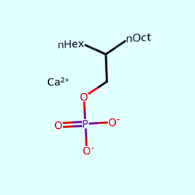 CCCCCCCCC(CCCCCC)COP(=O)([O-])[O-].[Ca+2]